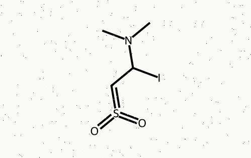 CN(C)C(I)C=S(=O)=O